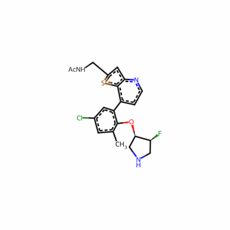 CC(=O)NCc1cc2nccc(-c3cc(Cl)cc(C)c3O[C@@H]3CNC[C@@H]3F)c2s1